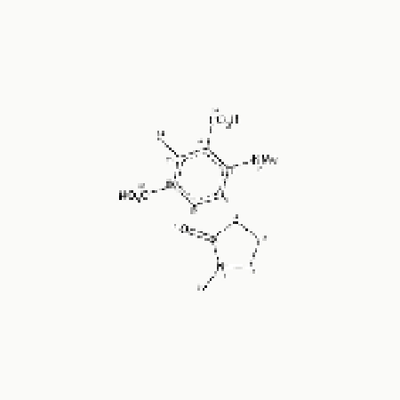 CN1CCCC1=O.CNc1ccc(C(=O)O)c(C)c1C(=O)O